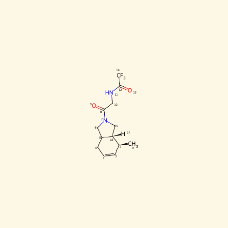 C[C@H]1C=CCC2CN(C(=O)CNC(=O)C(F)(F)F)C[C@@H]21